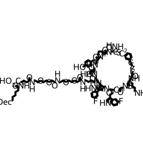 CCCCCCCCCCCCCCCC(=O)N[C@@H](CCC(=O)NCCOCCOCC(=O)NCCOCCOCC(=O)NCCCC[C@@H]1NC(=O)[C@H](Cc2c[nH]c3ccc(F)cc23)NC(=O)[C@H](CCc2c[nH]c3ccc(F)cc23)CC(=O)[C@@H](C)NC(=O)[C@H](CCCCN)NC(=O)CCSCc2cccc(c2)CSC[C@@H](C(N)=O)NC(=O)[C@]2(C)CCCN2C(=O)[C@H](Cc2ccc(O)cc2)NC(=O)[C@H]([C@@H](C)O)NC1=O)C(=O)O